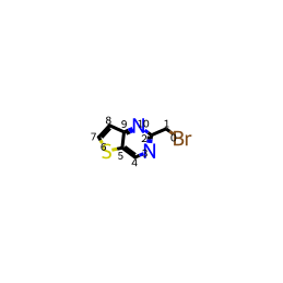 BrCc1ncc2sccc2n1